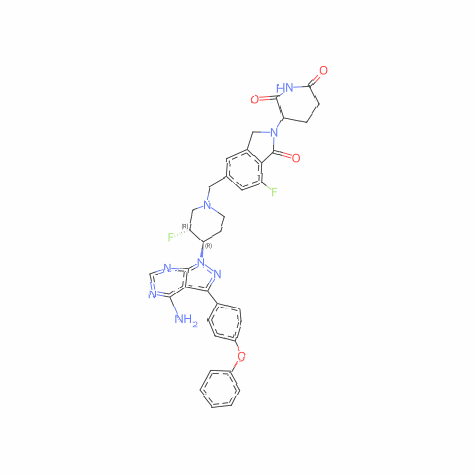 Nc1ncnc2c1c(-c1ccc(Oc3ccccc3)cc1)nn2[C@@H]1CCN(Cc2cc(F)c3c(c2)CN(C2CCC(=O)NC2=O)C3=O)C[C@H]1F